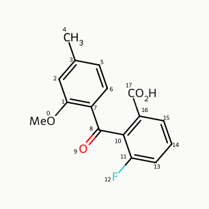 COc1cc(C)ccc1C(=O)c1c(F)cccc1C(=O)O